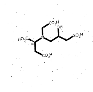 O=C(O)C[C@@H](C(=O)O)N(CC(=O)O)CC(O)CS(=O)(=O)O